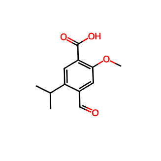 COc1cc(C=O)c(C(C)C)cc1C(=O)O